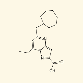 CCc1cc(CC2CCCCCC2)nc2cc(C(=O)O)nn12